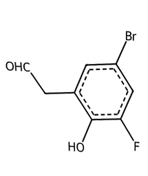 O=CCc1cc(Br)cc(F)c1O